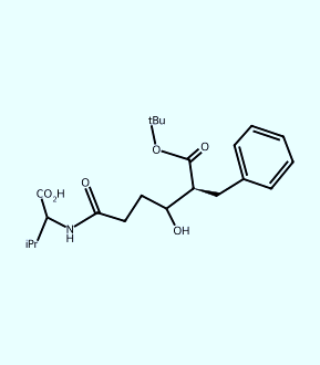 CC(C)C(NC(=O)CCC(O)[C@H](Cc1ccccc1)C(=O)OC(C)(C)C)C(=O)O